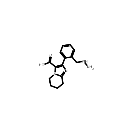 NNCc1ccccc1-c1nc2n(c1C(=O)O)CCCC2